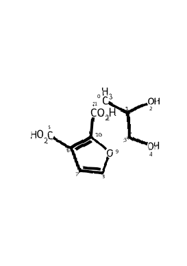 CC(O)CO.O=C(O)c1ccoc1C(=O)O